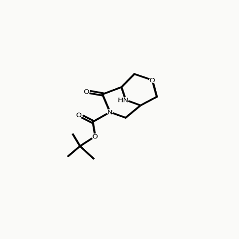 CC(C)(C)OC(=O)N1CC2COCC(N2)C1=O